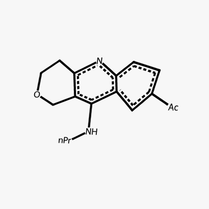 CCCNc1c2c(nc3ccc(C(C)=O)cc13)CCOC2